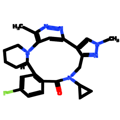 Cc1nnc2cc1N1CCCC[C@@H]1c1cc(F)ccc1C(=O)N(C1CC1)Cc1nn(C)cc1-2